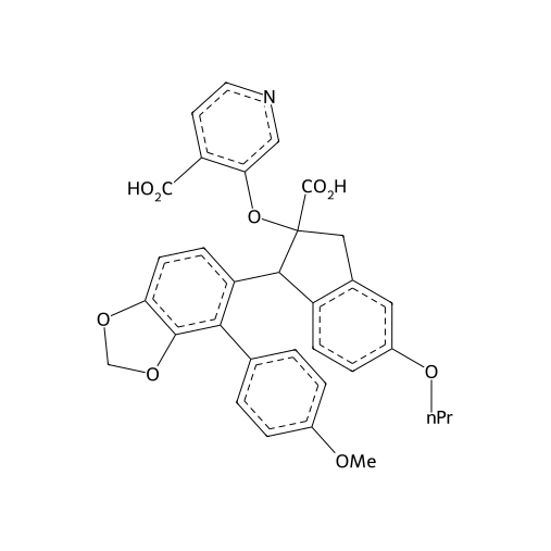 CCCOc1ccc2c(c1)CC(Oc1cnccc1C(=O)O)(C(=O)O)C2c1ccc2c(c1-c1ccc(OC)cc1)OCO2